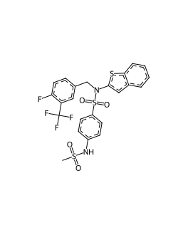 CS(=O)(=O)Nc1ccc(S(=O)(=O)N(Cc2ccc(F)c(C(F)(F)F)c2)c2cc3ccccc3s2)cc1